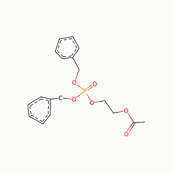 CC(=O)OCCOP(=O)(OCc1ccccc1)OCc1ccccc1